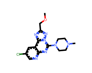 COCc1nc2c3cc(Cl)cnc3nc(N3CCN(C)CC3)n2n1